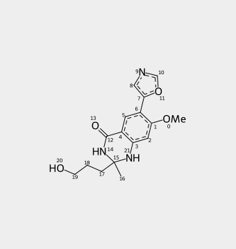 COc1cc2c(cc1-c1cnco1)C(=O)NC(C)(CCCO)N2